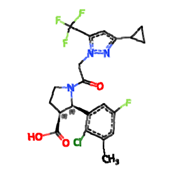 Cc1cc(F)cc([C@H]2[C@@H](C(=O)O)CCN2C(=O)Cn2nc(C3CC3)cc2C(F)(F)F)c1Cl